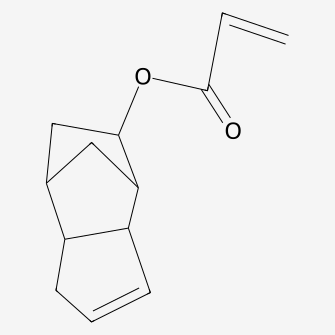 C=CC(=O)OC1CC2CC1C1C=CCC21